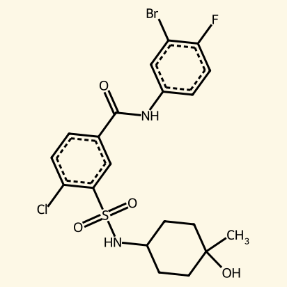 CC1(O)CCC(NS(=O)(=O)c2cc(C(=O)Nc3ccc(F)c(Br)c3)ccc2Cl)CC1